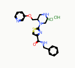 Cl.Cl.O=C(NCc1ccccc1)c1csc(N2CCNCC2COc2cccnc2)n1